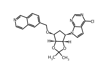 CC1(C)O[C@@H]2[C@H](O1)[C@@H](OCc1ccc3cnccc3c1)C[C@H]2n1ccc2c(Cl)ncnc21